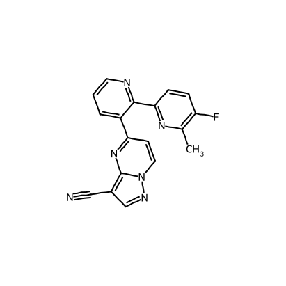 Cc1nc(-c2ncccc2-c2ccn3ncc(C#N)c3n2)ccc1F